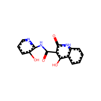 O=C(Nc1ncccc1O)c1c(O)c2ccccc2[nH]c1=O